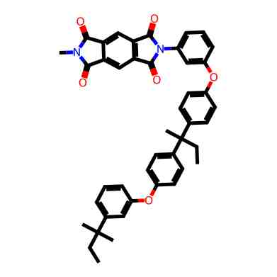 CCC(C)(C)c1cccc(Oc2ccc(C(C)(CC)c3ccc(Oc4cccc(-n5c(=O)c6cc7c(=O)n(C)c(=O)c7cc6c5=O)c4)cc3)cc2)c1